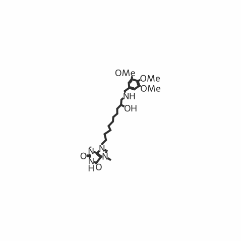 COc1cc(CNCC(O)CCCCCCCCCN2CN(C)c3c2n(C)c(=O)[nH]c3=O)cc(OC)c1OC